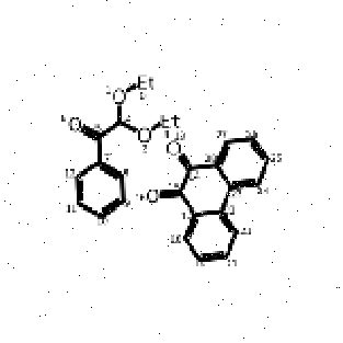 CCOC(OCC)C(=O)c1ccccc1.O=C1C(=O)c2ccccc2-c2ccccc21